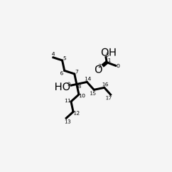 CC(=O)O.CCCCC(O)(CCCC)CCCC